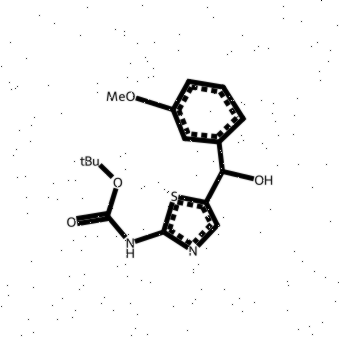 COc1cccc(C(O)c2cnc(NC(=O)OC(C)(C)C)s2)c1